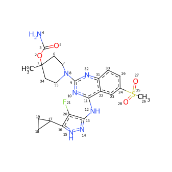 CC1(OC(N)=O)CCN(c2nc(Nc3n[nH]c(C4CC4)c3F)c3cc(S(C)(=O)=O)ccc3n2)CC1